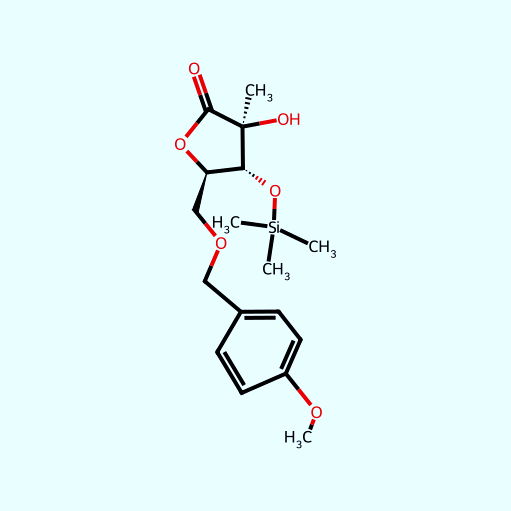 COc1ccc(COC[C@H]2OC(=O)[C@@](C)(O)[C@@H]2O[Si](C)(C)C)cc1